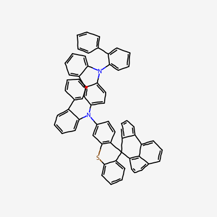 c1ccc(-c2ccccc2N(c2ccc3c(c2)Sc2ccccc2C32c3ccccc3-c3cccc4cccc2c34)c2ccc3c(c2)c2ccccc2n3-c2ccccc2-c2ccccc2)cc1